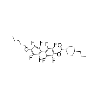 CCCCCOc1c(F)c(F)c(-c2c(F)c(F)c(OC(=O)[C@H]3CC[C@H](CCC)CC3)c(F)c2F)c(F)c1F